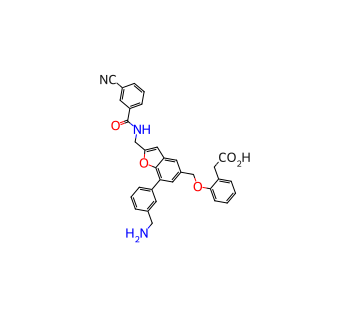 N#Cc1cccc(C(=O)NCc2cc3cc(COc4ccccc4CC(=O)O)cc(-c4cccc(CN)c4)c3o2)c1